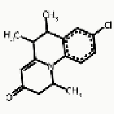 CC1C2=CC(=O)CC(C)N2c2ccc(Cl)cc2C1C